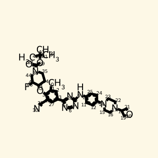 Cc1cc(-c2ncnc(Nc3ccc(N4CCN(C5COC5)CC4)cc3)n2)cc(C#N)c1OC1CCN(C(=O)OC(C)(C)C)CC1F